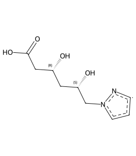 O=C(O)C[C@H](O)C[C@H](O)Cn1cc[c]n1